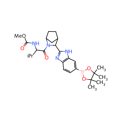 COC(=O)NC(C(=O)N1C2CCC(C2)C1c1nc2ccc(B3OC(C)(C)C(C)(C)O3)cc2[nH]1)C(C)C